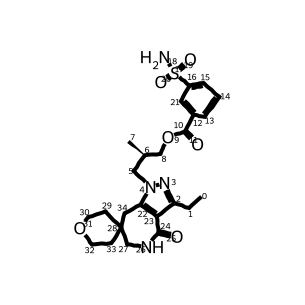 CCc1nn(C[C@@H](C)COC(=O)c2cccc(S(N)(=O)=O)c2)c2c1C(=O)NCC1(CCOCC1)C2